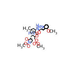 COC(=O)OCC(=O)C(C[C@@H]1CCN(C(=O)OC)C1=O)NC(=O)C(CC(C)C)NC(=O)c1cc2c(OC)cccc2[nH]1